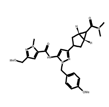 COCc1cc(C(=O)Nc2cc(C3C[C@@H]4C(C(=O)N(C)C)[C@@H]4C3)nn2Cc2ccc(OC)cc2)n(C)n1